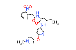 CCCCC(NC(=O)Cc1ccccc1[N+](=O)[O-])C(=O)Nc1ccc(OC2CCN(C)CC2)nc1